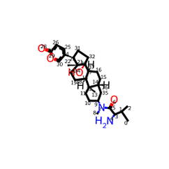 CC(C)C(N)C(=O)N(C)[C@H]1CC[C@@]2(C)[C@H](CC[C@@H]3[C@@H]2CC[C@]2(C)[C@@H](c4ccc(=O)oc4)CC[C@]32O)C1